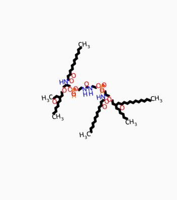 CCCCCCCCCCCC(=O)CC(=O)NC(COCCC(CCCCCCC)CC(C)=O)CO[PH](=O)OCCNC(=O)NCCO[PH](=O)OCC(COCCC(CCCCCCC)CC(=O)CCCCCCCCCCC)NC(=O)CC(=O)CCCCCCCCCCC